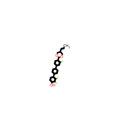 C/C=C/C1COC(c2ccc(-c3ccc(-c4ccc(O)c(F)c4F)cc3)cc2F)OC1